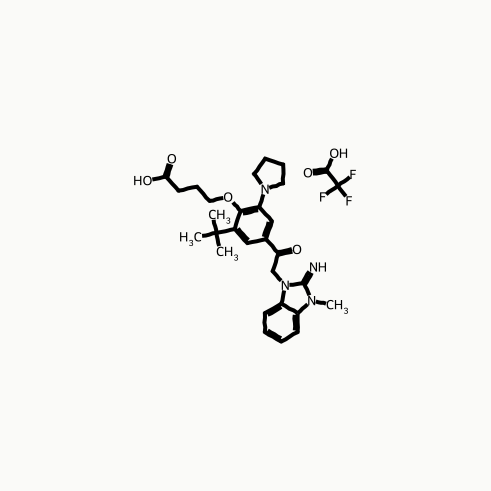 Cn1c(=N)n(CC(=O)c2cc(N3CCCC3)c(OCCCC(=O)O)c(C(C)(C)C)c2)c2ccccc21.O=C(O)C(F)(F)F